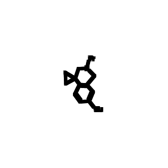 CC(C)N1Cc2cc(C(C)(C)C)ccc2C2(CC2)C1